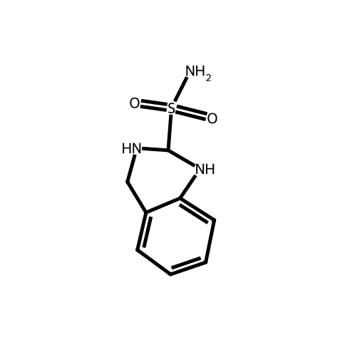 NS(=O)(=O)C1NCc2ccccc2N1